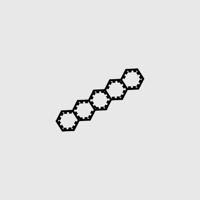 [c]1c2cc3ccccc3cc2[c]c2cc3ccccc3cc12